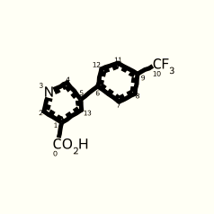 O=C(O)c1cncc(-c2ccc(C(F)(F)F)cc2)c1